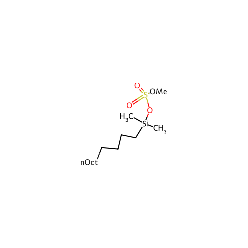 CCCCCCCCCCCC[Si](C)(C)OS(=O)(=O)OC